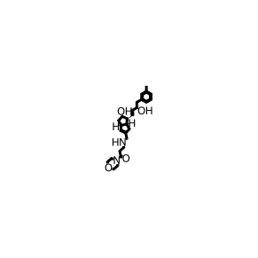 Cc1cccc(C[C@@H](O)/C=C/[C@@H]2[C@H]3CC(CNCCC(=O)N4CCOCC4)=C[C@H]3C[C@H]2O)c1